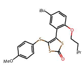 CCC(C)c1ccc(OCCC(C)C)c(-c2sc(=O)sc2Sc2ccc(OC)cc2)c1